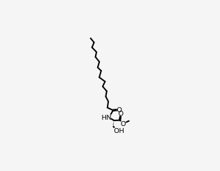 CCCCCCCCCCCCCCCC(=O)N[C@@H](CO)C(=O)OC